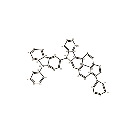 c1ccc(-c2ccc3ccc4c5c(ccc2c35)cc2c4c3ncccc3n2-c2ccc3c(c2)c2ccccc2n3-c2ccccc2)cc1